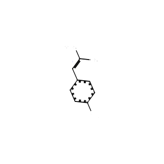 CN/C(C#N)=C/c1ccc(C(F)(F)F)cc1